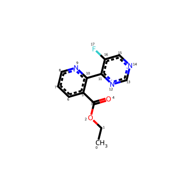 CCOC(=O)c1cccnc1-c1ncncc1F